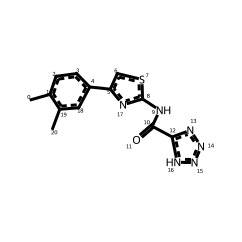 Cc1ccc(-c2csc(NC(=O)c3nnn[nH]3)n2)cc1C